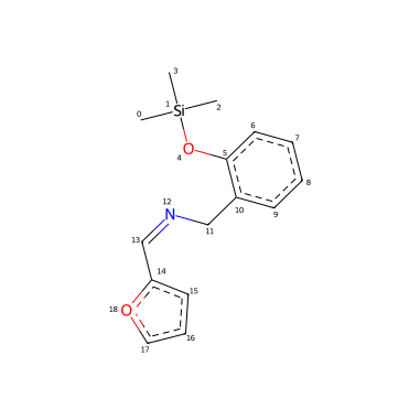 C[Si](C)(C)Oc1ccccc1C/N=C\c1ccco1